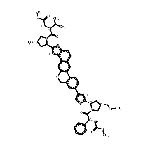 COC[C@H]1C[C@@H](c2ncc(-c3ccc4c(c3)COc3cc5c(ccc6nc(C7C[C@H](C)CN7C(=O)[C@@H](NC(=O)OC)C(C)C)[nH]c65)cc3-4)[nH]2)N(C(=O)[C@H](NC(=O)OC)c2ccccc2)C1